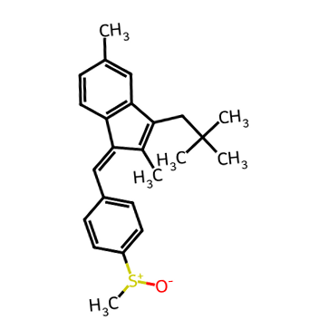 CC1=C(CC(C)(C)C)c2cc(C)ccc2/C1=C/c1ccc([S+](C)[O-])cc1